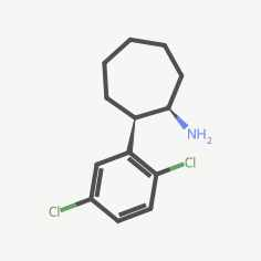 N[C@@H]1CCCCC[C@@H]1c1cc(Cl)ccc1Cl